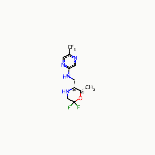 C[C@@H]1OC(F)(F)CN[C@@H]1CNc1cnc(C(F)(F)F)cn1